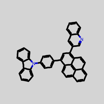 c1ccc2ncc(-c3cc(-c4ccc(-n5c6ccccc6c6ccccc65)cc4)c4ccc5cccc6ccc3c4c56)cc2c1